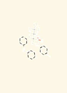 Cc1ccc(OS(=O)(=O)C(F)(F)C(F)(F)C(F)(F)C(F)(F)F)cc1.c1ccc(Sc2ccccc2)cc1